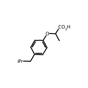 CC(C)Cc1ccc(OC(C)C(=O)O)cc1